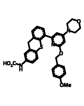 COc1ccc(COc2cc(N3CCOCC3)cc(-c3cccc4c3Sc3ccc(NC(=O)O)cc3C4)n2)cc1